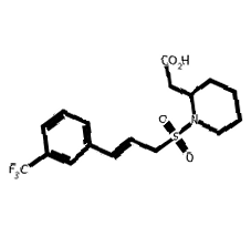 O=C(O)CC1CCCCN1S(=O)(=O)CC=Cc1cccc(C(F)(F)F)c1